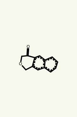 O=C1COCc2cc3ccccc3cc21